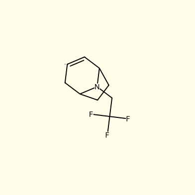 FC(F)(F)CN1C2C=[C]CC1CC2